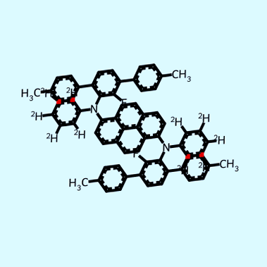 [2H]c1c([2H])c([2H])c(N(c2c(-c3ccc(C)cc3)ccc(-c3ccc(C)cc3)c2F)c2ccc3ccc4c(N(c5c([2H])c([2H])c([2H])c([2H])c5[2H])c5c(-c6ccc(C)cc6)ccc(-c6ccc(C)cc6)c5F)ccc5ccc2c3c54)c([2H])c1[2H]